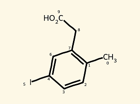 Cc1ccc(I)cc1CC(=O)O